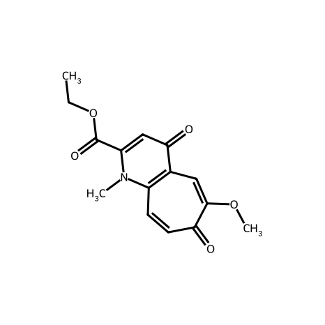 CCOC(=O)c1cc(=O)c2cc(OC)c(=O)ccc2n1C